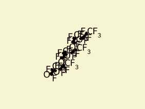 O=C(F)C(F)(OC(F)(F)C(F)(OC(F)(F)C(F)(OC(F)(F)C(F)(OC(F)(F)C(F)(OC(F)(F)C(F)(F)C(F)(F)F)C(F)(F)F)C(F)(F)F)C(F)(F)F)C(F)(F)F)C(F)(F)F